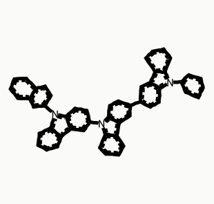 c1ccc(-n2c3ccccc3c3cc(-c4ccc5c(c4)c4ccccc4n5-c4ccc5c(c4)c4ccccc4n5-c4ccc5ccccc5c4)ccc32)cc1